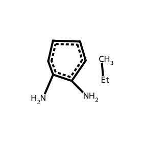 CCC.Nc1ccccc1N